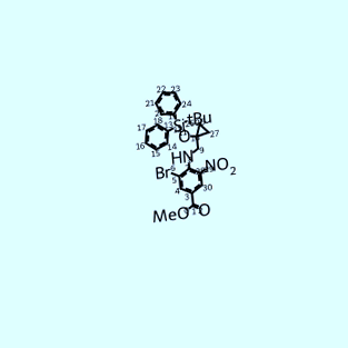 COC(=O)c1cc(Br)c(NCC2(O[Si](c3ccccc3)(c3ccccc3)C(C)(C)C)CC2)c([N+](=O)[O-])c1